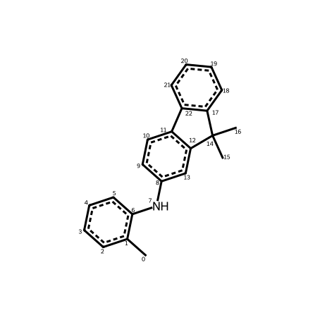 Cc1ccccc1Nc1ccc2c(c1)C(C)(C)c1ccccc1-2